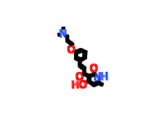 Cc1cc(O)c(C(=O)C=Cc2cccc(OCCCN(C)C)c2)c(=O)[nH]1